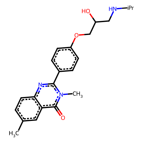 Cc1ccc2nc(-c3ccc(OCC(O)CNC(C)C)cc3)n(C)c(=O)c2c1